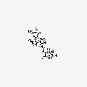 NS(=O)(=O)N[C@H](CCNc1nonc1-c1noc(=O)n1-c1ccc(F)c(Br)c1)C(=O)O